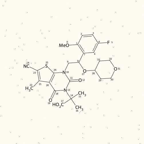 COc1ccc(F)cc1C(Cn1c(=O)n(C(C)(C)C(=O)O)c(=O)c2c(C)c(C#N)sc21)OC1CCOCC1